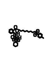 Cc1ccc(S(=O)(=O)CCCCCCCCCOC(=O)c2ccccc2NC(=O)NS(=O)(=O)C2CCCCC2)cc1